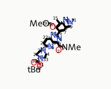 CNC(=O)c1nc(-c2cc3cn(C)nc3c(C)c2OCOC)nc2ccc(N3CCN(C(=O)OC(C)(C)C)CC3)nc12